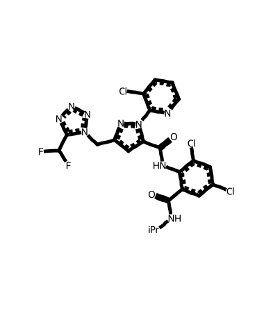 CC(C)NC(=O)c1cc(Cl)cc(Cl)c1NC(=O)c1cc(Cn2nnnc2C(F)F)nn1-c1ncccc1Cl